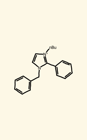 CCCC[n+]1ccn(Cc2ccccc2)c1-c1ccccc1